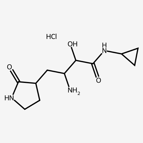 Cl.NC(CC1CCNC1=O)C(O)C(=O)NC1CC1